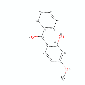 CCOc1ccc(C(=O)C2=CC=CCC2)c(O)c1